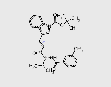 Cc1cccc(C(=O)NN(C(=O)/C=C/c2cn(C(=O)OC(C)(C)C)c3ccccc23)C(C)C)c1